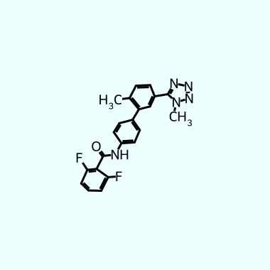 Cc1ccc(-c2nnnn2C)cc1-c1ccc(NC(=O)c2c(F)cccc2F)cc1